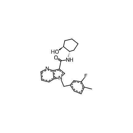 Cc1ccc(Cn2cc(C(=O)N[C@H]3CCCC[C@@H]3O)c3ncccc32)cc1F